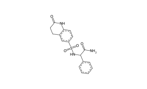 NC(=O)C(NS(=O)(=O)c1ccc2c(c1)CCC(=O)N2)c1ccccc1